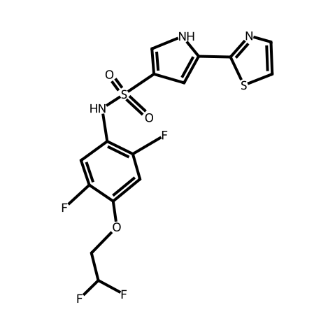 O=S(=O)(Nc1cc(F)c(OCC(F)F)cc1F)c1c[nH]c(-c2nccs2)c1